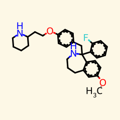 COc1ccc2c(c1)CCCNC2(Cc1ccc(OCCC2CCCCN2)cc1)c1ccccc1F